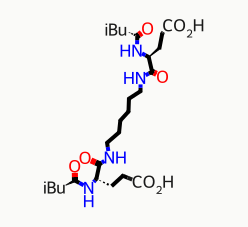 CC[C@H](C)C(=O)N[C@@H](CCC(=O)O)C(=O)NCCCCCCNC(=O)[C@H](CCC(=O)O)NC(=O)[C@@H](C)CC